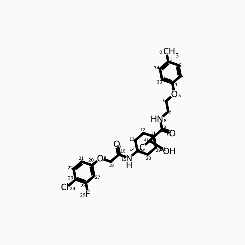 Cc1ccc(OCCNC(=O)C23CCC(NC(=O)COc4ccc(Cl)c(F)c4)(CC2)CC3O)cc1